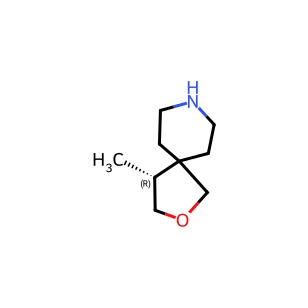 C[C@H]1COCC12CCNCC2